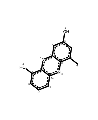 Cc1cc(O)cc2nc3c(O)cccc3nc12